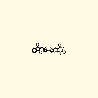 CN1C(=O)C(=Cc2ccc(-c3ccc(C=C4C(=O)c5ccccc5C4=O)s3)s2)C(=O)N(C)C1=O